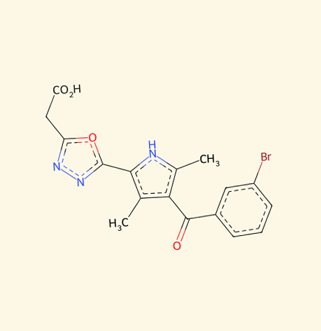 Cc1[nH]c(-c2nnc(CC(=O)O)o2)c(C)c1C(=O)c1cccc(Br)c1